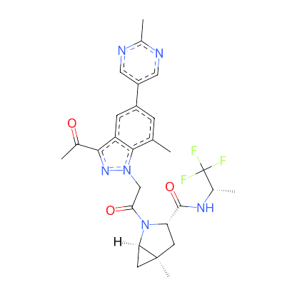 CC(=O)c1nn(CC(=O)N2[C@H](C(=O)N[C@@H](C)C(F)(F)F)C[C@@]3(C)C[C@@H]23)c2c(C)cc(-c3cnc(C)nc3)cc12